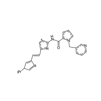 CC(C)C1C=NC(/C=C/c2csc(NC(=O)c3cccn3Cc3cccnc3)n2)=C1